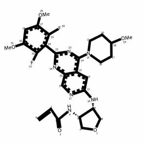 C=CC(=O)N[C@H]1COC[C@H]1Nc1cc2c(N3CCC(OC)CC3)nc(-c3c(F)c(OC)cc(OC)c3F)nc2cn1